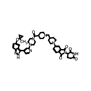 CC1(Oc2ccc3n[nH]c(-c4ccnc(N5CCN(C(=O)C6CCN(CC7CCN(c8ccc9c(c8)C(=O)N(C8CCC(=O)NC8=O)C9=O)CC7)CC6)CC5)c4)c3c2)CC1